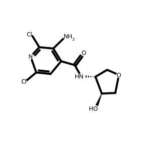 Nc1c(C(=O)N[C@@H]2COC[C@H]2O)cc(Cl)nc1Cl